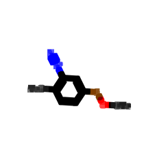 COOSc1ccc(OC)c([N+]#N)c1